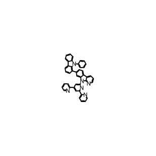 c1ccc(-n2c3ccccc3c3cccc(-c4ccc5c6cccnc6n(-c6cc(-c7ccccn7)cc(-c7ccccn7)n6)c5c4)c32)cc1